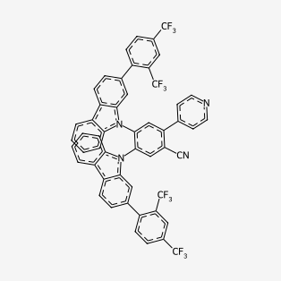 N#Cc1cc(-n2c3ccccc3c3ccc(-c4ccc(C(F)(F)F)cc4C(F)(F)F)cc32)c(-n2c3ccccc3c3ccc(-c4ccc(C(F)(F)F)cc4C(F)(F)F)cc32)cc1-c1ccncc1